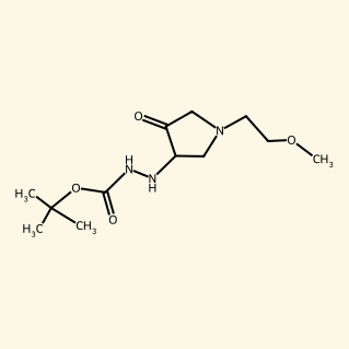 COCCN1CC(=O)C(NNC(=O)OC(C)(C)C)C1